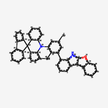 CC(C)c1cc(-c2cccc3c2[nH]c2oc4ccccc4c23)c2c(c1)N1c3ccccc3C3(c4ccccc4-c4ccccc43)c3cccc(c31)B2